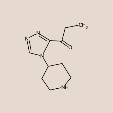 CCC(=O)c1nncn1C1CCNCC1